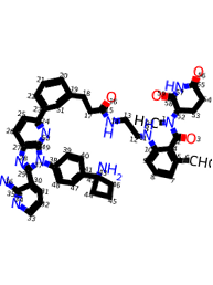 CN(C(=O)c1c(C=O)cccc1NCCNC(=O)CCc1cccc(-c2ccc3nc(-c4cccnc4N)n(-c4ccc(C5(N)CCC5)cc4)c3n2)c1)C1CCC(=O)NC1=O